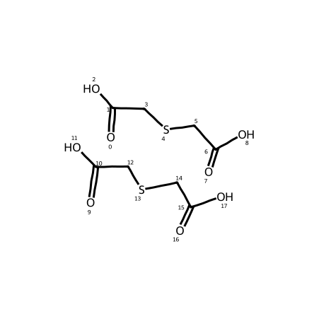 O=C(O)CSCC(=O)O.O=C(O)CSCC(=O)O